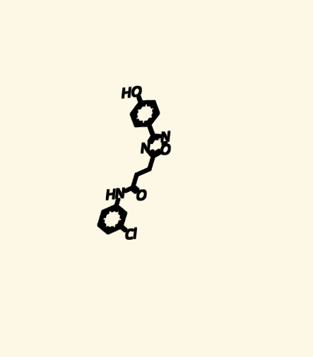 O=C(CCc1nc(-c2ccc(O)cc2)no1)Nc1cccc(Cl)c1